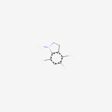 [2H]c1cc(F)c(C)c2c1N(C)CC2